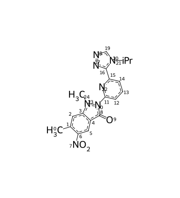 Cc1cc2c(cc1[N+](=O)[O-])c(=O)n(-c1cccc(-c3nncn3C(C)C)n1)n2C